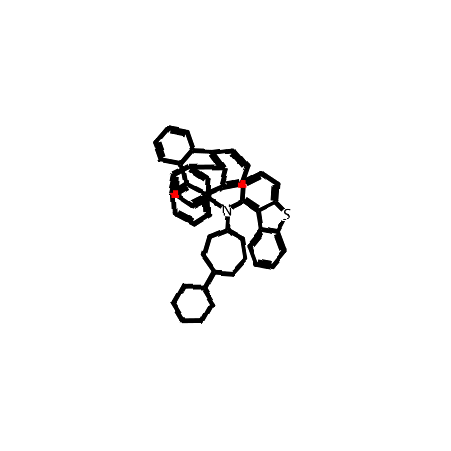 C1=CC2c3cccc4c3-c3cc(N(c5cccc6sc7ccccc7c56)C5CCCC(C6CCCCC6)CC5)ccc3-c3cccc-4c3C2C=C1